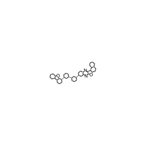 c1cc(-c2cccc(-c3cccc4c3oc3ccccc34)c2)cc(-c2ccc3nc4c(nc3c2)oc2ccc3ccccc3c24)c1